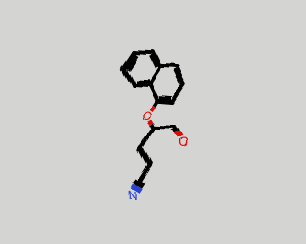 N#CCCC(C=O)Oc1cccc2ccccc12